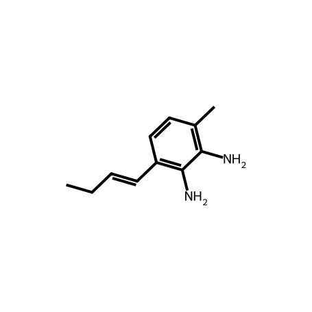 CCC=Cc1ccc(C)c(N)c1N